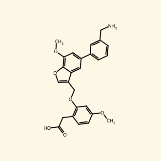 COc1ccc(CC(=O)O)c(OCc2coc3c(OC)cc(-c4cccc(CN)c4)cc23)c1